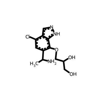 CC(N)c1cc(Cl)c2cn[nH]c2c1OCC(O)CO